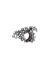 CO[C@H]1/C=C/O[C@@]2(C)Oc3c(C)c(O)c4c(O)c(c(/C=N/N5CC[N+](C)(CC#C[Si](C)(C)C)CC5)c([O-])c4c3C2=O)NC(=O)C(C)=C/C=C/[C@H](C)[C@H](O)[C@@H](C)[C@@H](O)[C@@H](C)[C@H](OC(C)=O)[C@@H]1C